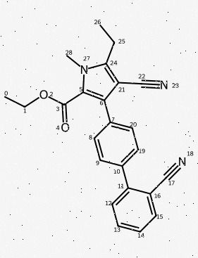 CCOC(=O)c1c(-c2ccc(-c3ccccc3C#N)cc2)c(C#N)c(CC)n1C